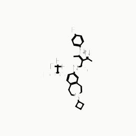 Cc1nn(-c2ccc(F)cc2)c(C)c1C(=O)Nc1ccc2c(c1)CCN(C1CCC1)CC2.O=C(O)C(F)(F)F